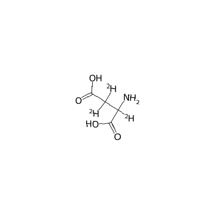 [2H]C([2H])(C(=O)O)C([2H])(N)C(=O)O